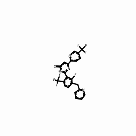 O=c1cc(-c2ccc(C(F)(F)F)cn2)nc(-c2c(C(F)(F)F)ccc(Cc3ccccn3)c2F)[nH]1